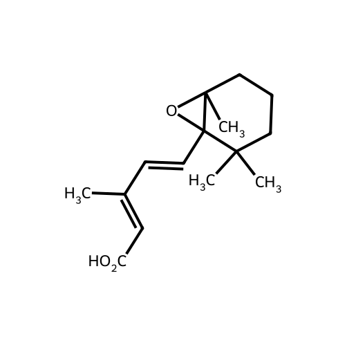 CC(C=CC12OC1(C)CCCC2(C)C)=CC(=O)O